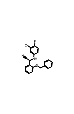 N#CC(Nc1ccc(F)c(Cl)c1)c1ccccc1SCc1ccccc1